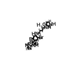 CC1(NCCCCNc2cc(F)c(S(=O)(=O)Nc3ncns3)cc2Br)CCNC1